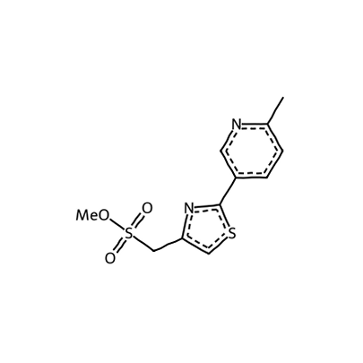 COS(=O)(=O)Cc1csc(-c2ccc(C)nc2)n1